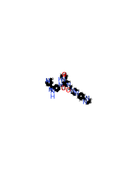 Cc1cc(-c2n[nH]c3ccc(NC(=O)C4(CN5CCOCC5)CCN(CC(=O)N5CCN(c6ccc(-c7ncccn7)cc6)CC5)C4)cc23)ccn1